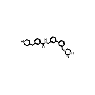 C[C@H]1CN(Cc2cccc(-c3cccc(CNC(=O)c4cccc(CC5CCNCC5)c4)c3)c2)CCN1